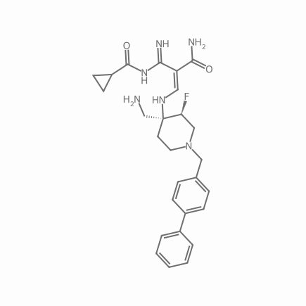 N=C(NC(=O)C1CC1)/C(=C\N[C@]1(CN)CCN(Cc2ccc(-c3ccccc3)cc2)C[C@@H]1F)C(N)=O